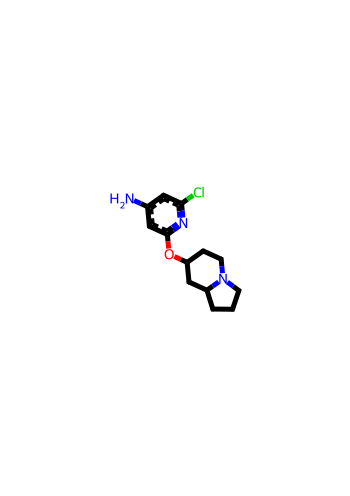 Nc1cc(Cl)nc(OC2CCN3CCCC3C2)c1